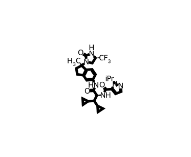 CC(C)n1nccc1C(=O)N[C@H](C(=O)Nc1ccc2c(c1)CC[C@]2(C)N1C[C@@H](C(F)(F)F)NC1=O)C(C1CC1)C1CC1